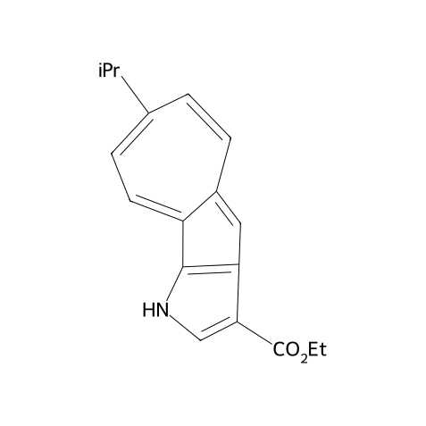 CCOC(=O)c1c[nH]c2c3ccc(C(C)C)ccc-3cc12